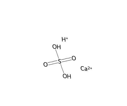 O=S(=O)(O)O.[Ca+2].[H+]